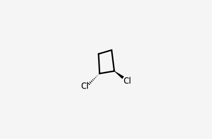 Cl[C@@H]1CC[C@H]1Cl